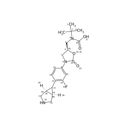 CC(C)(C)N(C[C@@H]1CN(c2ccc(C3[C@H]4CNC[C@@H]34)c(F)c2)C(=O)O1)C(=O)O